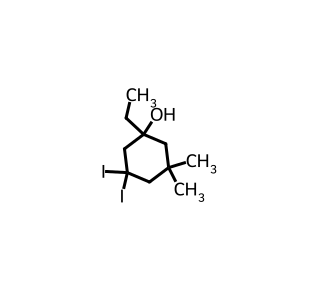 CCC1(O)CC(C)(C)CC(I)(I)C1